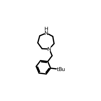 CC(C)(C)c1ccccc1CN1CCCNCC1